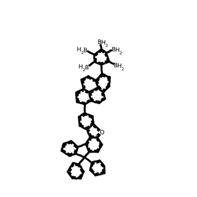 Bc1c(B)c(B)c(-c2ccc3ccc4c(-c5ccc6c(c5)oc5ccc7c(c56)-c5ccccc5C7(c5ccccc5)c5ccccc5)ccc5ccc2c3c54)c(B)c1B